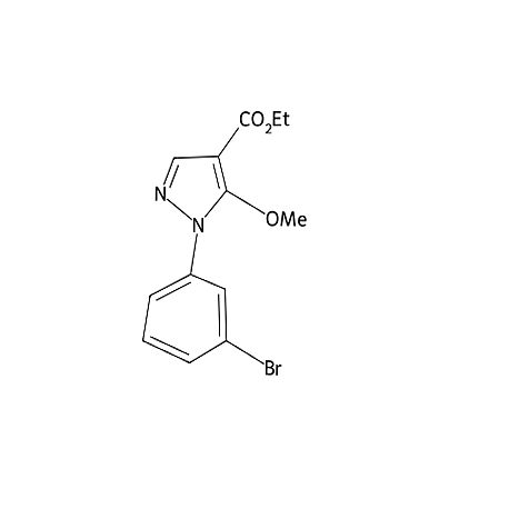 CCOC(=O)c1cnn(-c2cccc(Br)c2)c1OC